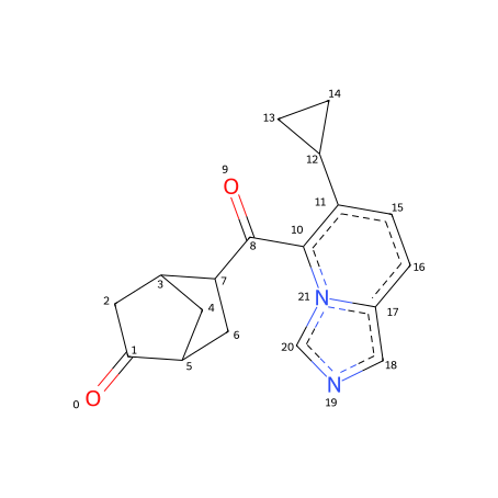 O=C1CC2CC1CC2C(=O)c1c(C2CC2)ccc2cncn12